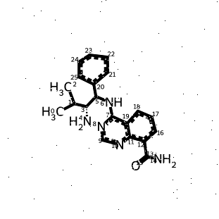 CC(C)[C@@H](N)C(Nc1ncnc2c(C(N)=O)cccc12)c1ccccc1